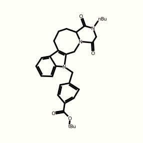 CCCCN1CC(=O)N2Cc3c(c4ccccc4n3Cc3ccc(C(=O)OC(C)(C)C)cc3)CCCC2C1=O